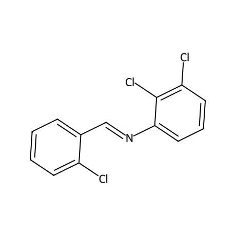 Clc1ccccc1C=Nc1cccc(Cl)c1Cl